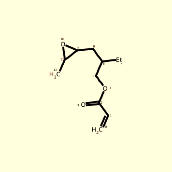 C=CC(=O)OCC(CC)CC1OC1C